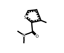 Cc1ccsc1C(=O)N(C)C